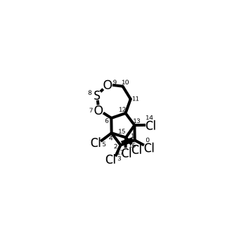 ClC1=C(Cl)C2(Cl)C3OSOCCC3C1(Cl)C2(Cl)Cl